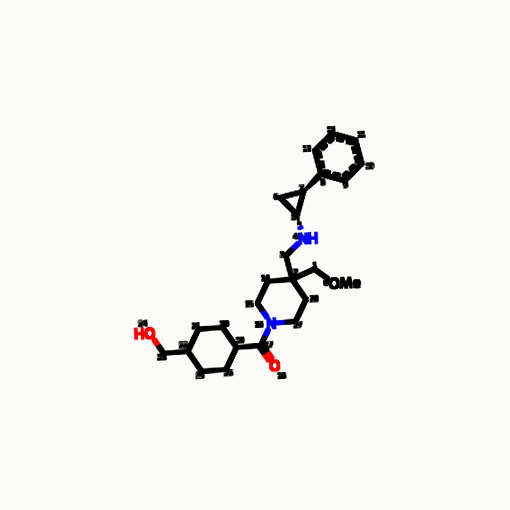 COCC1(CN[C@@H]2C[C@H]2c2ccccc2)CCN(C(=O)C2CCC(CO)CC2)CC1